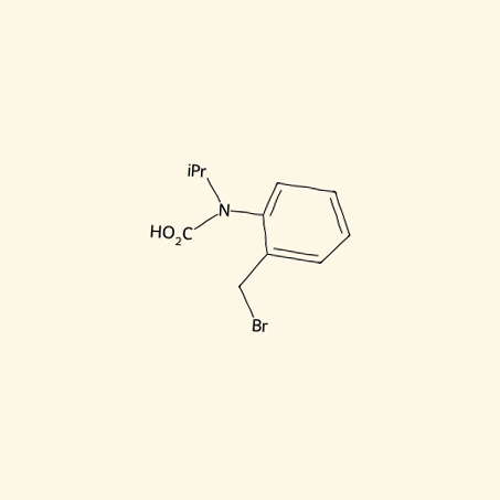 CC(C)N(C(=O)O)c1ccccc1CBr